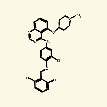 CN1CCC(Oc2cccc3ncnc(Nc4ccc(OCc5c(Cl)cccc5Cl)c(Cl)c4)c23)CC1